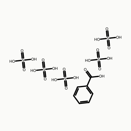 O=C(O)c1ccccc1.O=S(=O)(O)O.O=S(=O)(O)O.O=S(=O)(O)O.O=S(=O)(O)O.O=S(=O)(O)O